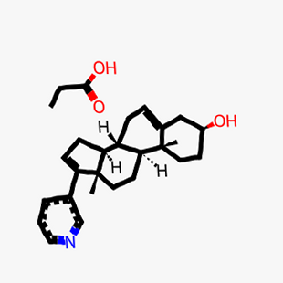 CCC(=O)O.C[C@]12CC[C@H](O)CC1=CC[C@@H]1[C@@H]2CC[C@]2(C)C(c3cccnc3)=CC[C@@H]12